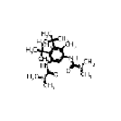 Cc1c(NC(=O)N(C)C)cc(NC(=O)N(C)C)c(C(C)(C)C)c1C(C)(C)C